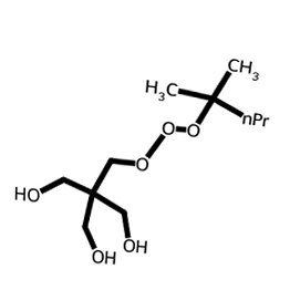 CCCC(C)(C)OOOCC(CO)(CO)CO